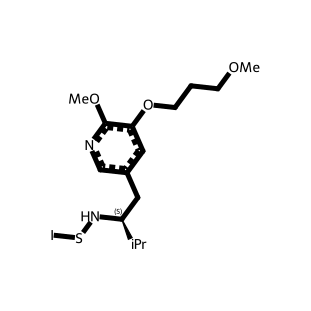 COCCCOc1cc(C[C@H](NSI)C(C)C)cnc1OC